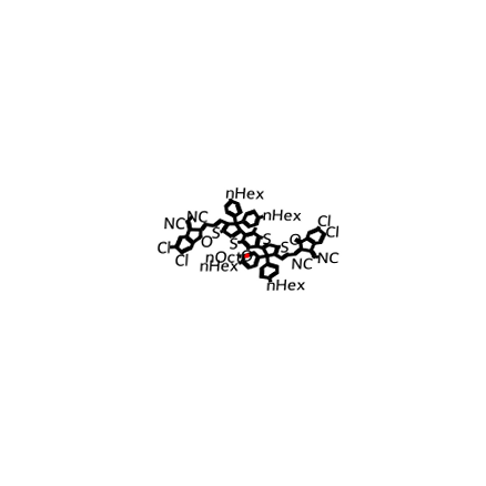 [C-]#[N+]/C(C#N)=C1\C(=C\c2cc3c(s2)-c2sc4c(OCCCCCCCC)c5c6c(sc5c(C)c4c2C3(c2ccc(CCCCCC)cc2)c2ccc(CCCCCC)cc2)-c2sc(/C=C3\C(=O)c4cc(Cl)c(Cl)cc4\C3=C(\C#N)[N+]#[C-])cc2C6(c2ccc(CCCCCC)cc2)c2ccc(CCCCCC)cc2)C(=O)c2cc(Cl)c(Cl)cc21